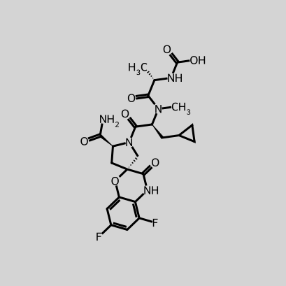 C[C@H](NC(=O)O)C(=O)N(C)[C@@H](CC1CC1)C(=O)N1C[C@@]2(C[C@H]1C(N)=O)Oc1cc(F)cc(F)c1NC2=O